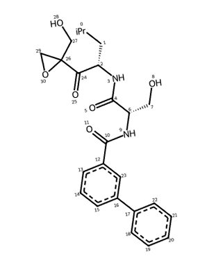 CC(C)C[C@H](NC(=O)[C@H](CO)NC(=O)c1cccc(-c2ccccc2)c1)C(=O)C1(CO)CO1